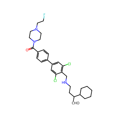 O=CC(CCNCc1c(Cl)cc(-c2ccc(C(=O)N3CCN(CCF)CC3)cc2)cc1Cl)C1CCCCC1